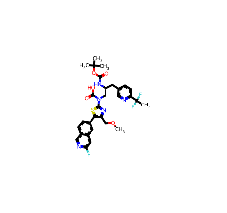 COCc1nc(N(C[C@H](Cc2ccc(C(C)(F)F)nc2)NC(=O)OC(C)(C)C)C(=O)O)sc1-c1ccc2cnc(F)cc2c1